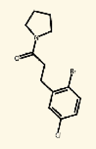 O=C(CCc1cc(Cl)ccc1Br)N1CCCC1